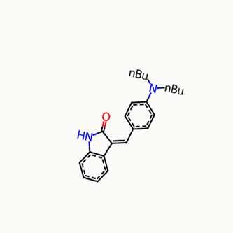 CCCCN(CCCC)c1ccc(C=C2C(=O)Nc3ccccc32)cc1